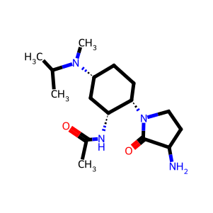 CC(=O)N[C@@H]1C[C@H](N(C)C(C)C)CC[C@@H]1N1CCC(N)C1=O